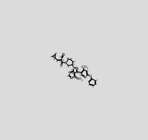 Cc1cc(Oc2ccccc2)ncc1-c1nn(C2CCCN(C(=O)C(C#N)=CC3CC3)C2)c2ncnc(N)c12